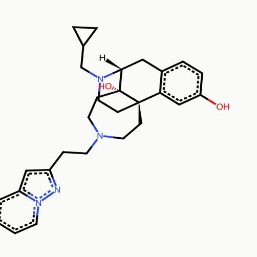 Oc1ccc2c(c1)[C@@]13CCN(CCc4cc5ccccn5n4)CC[C@@]1(O)[C@@H](C2)N(CC1CC1)CC3